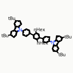 CCCCCCc1cc(-c2ccc(-n3c4ccc(C(C)(C)C)cc4c4cc(C(C)(C)C)ccc43)cc2)c(CCCCCC)cc1-c1ccc(-n2c3ccc(C(C)(C)C)cc3c3cc(C(C)(C)C)ccc32)cc1